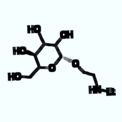 CCNCCO[C@@H]1OC(CO)[C@@H](O)C(O)C1O